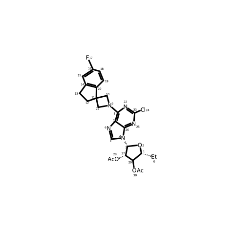 CC[C@H]1O[C@@H](n2cnc3c(N4CC5(CCc6cc(F)ccc65)C4)nc(Cl)nc32)[C@@H](OC(C)=O)C1OC(C)=O